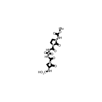 CC(C)(C)OC(=O)NN1CCN(C(=O)NS(=O)(=O)NC(=O)N2C[C@H](NC(=O)O)C2=O)C1=O